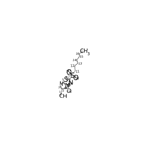 C#Cc1cnc2sc(S(=O)(=O)CCCCCCC)nn2c1=O